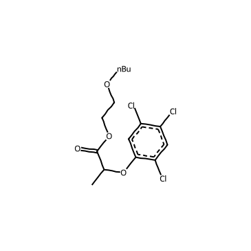 CCCCOCCOC(=O)C(C)Oc1cc(Cl)c(Cl)cc1Cl